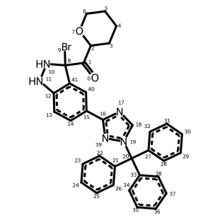 O=C(C1CCCCO1)C1(Br)NNc2ccc(-c3ncn(C(c4ccccc4)(c4ccccc4)c4ccccc4)n3)cc21